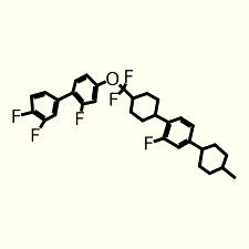 CC1CCC(c2ccc(C3CCC(C(F)(F)Oc4ccc(-c5ccc(F)c(F)c5)c(F)c4)CC3)c(F)c2)CC1